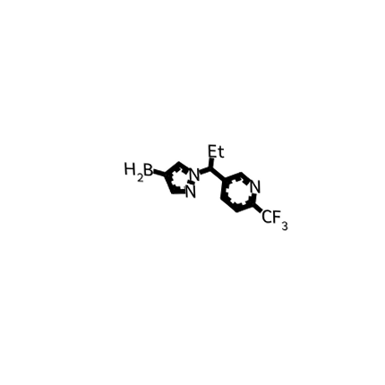 Bc1cnn(C(CC)c2ccc(C(F)(F)F)nc2)c1